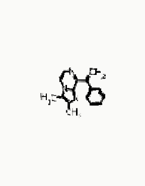 C=C(c1ccccc1)c1nccn2c(C)c(C)nc12